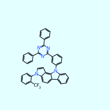 FC(F)(F)c1ccccc1-n1ccc2c1ccc1c3ccccc3n(-c3cccc(-c4nc(-c5ccccc5)nc(-c5ccccc5)n4)c3)c12